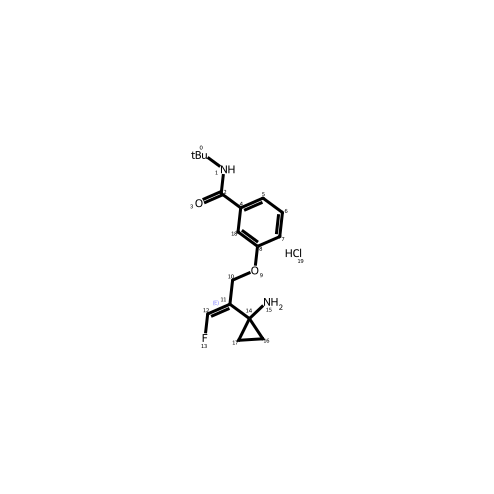 CC(C)(C)NC(=O)c1cccc(OC/C(=C/F)C2(N)CC2)c1.Cl